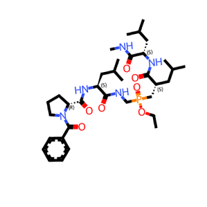 CCOP(=O)(CNC(=O)[C@H](CC(C)C)NC(=O)[C@H]1CCCN1C(=O)c1ccccc1)C[C@@H](CC(C)C)C(=O)N[C@@H](CC(C)C)C(=O)NC